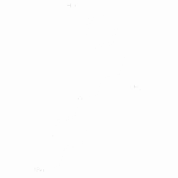 Cc1ccc(CC(C)CCOc2ccc(CC(C)(C)C)cc2)cc1